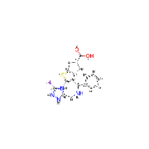 O=C(O)C1Cc2sc3c(c2C1)C(c1ccccc1)NCc1nnc(I)n1-3